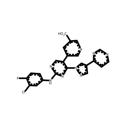 O=C(O)c1cncc(-c2cnc(Nc3ccc(F)c(Cl)c3)nc2-n2cc(-c3ccncn3)cn2)c1